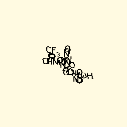 O=C(Cn1c2c(c(=O)n3nc(N4CCOCC4)nc13)C1(CCN(C(=O)c3ncccc3O)CC1)OC2)Nc1ccc(C(F)(F)F)cc1Cl